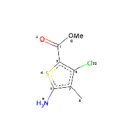 COC(=O)c1sc(N)c(C)c1Cl